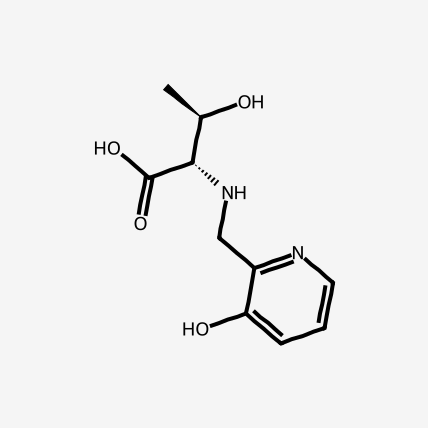 C[C@@H](O)[C@H](NCc1ncccc1O)C(=O)O